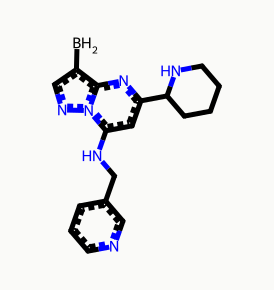 Bc1cnn2c(NCc3cccnc3)cc(C3CCCCN3)nc12